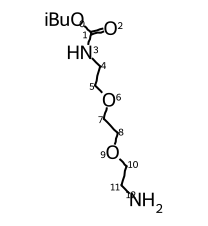 CC(C)COC(=O)NCCOCCOCCN